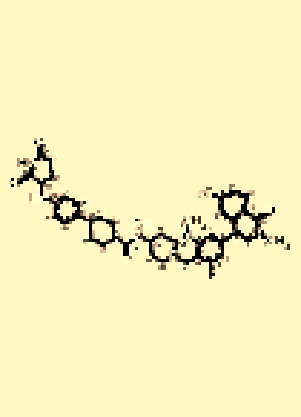 COc1cc(-c2cn(C)c(=O)c3ccc(F)cc23)cc(F)c1CN1CCC(N(C)C(=O)N2CCC(c3ccc(NC4CCC(=O)NC4=O)cc3)CC2)CC1